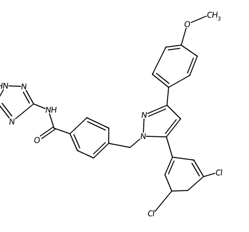 COc1ccc(-c2cc(C3=CC(Cl)CC(Cl)=C3)n(Cc3ccc(C(=O)Nc4nn[nH]n4)cc3)n2)cc1